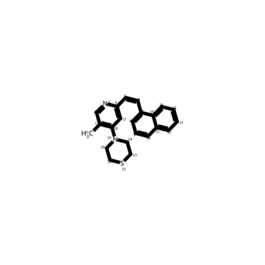 Cc1cnc(/C=C\c2cccc3ccccc23)cc1N1CCSCC1